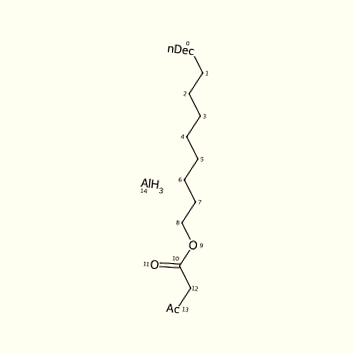 CCCCCCCCCCCCCCCCCCOC(=O)CC(C)=O.[AlH3]